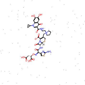 Nc1nc(/C(=N/O[C@@H](CC(=O)O)C(=O)O)C(=O)N[C@@H]2C(=O)N3C(C(=O)[O-])=C(C[N+]4(CCNC(=O)c5cn(C6CC6)c6cc(O)c(O)cc6c5=O)CCCC4)CS[C@H]23)cs1